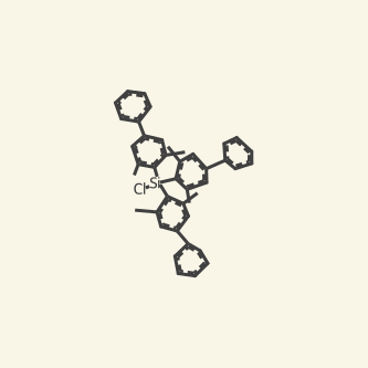 Cc1cc(-c2ccccc2)cc(C)c1[Si](Cl)(c1c(C)cc(-c2ccccc2)cc1C)c1c(C)cc(-c2ccccc2)cc1C